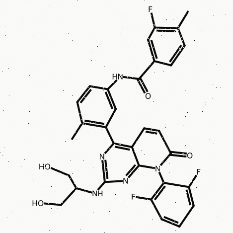 Cc1ccc(C(=O)Nc2ccc(C)c(-c3nc(NC(CO)CO)nc4c3ccc(=O)n4-c3c(F)cccc3F)c2)cc1F